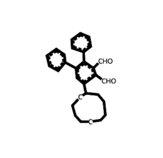 O=Cc1c(C2CCCCCCCCC2)cc(-c2ccccc2)c(-c2ccccc2)c1C=O